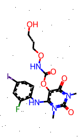 Cn1c(Nc2ccc(I)cc2F)c(OC(=O)NOCCCO)c(=O)n(C)c1=O